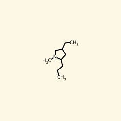 CCCC1CC(CC)CN1C